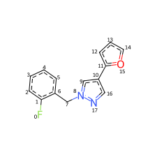 Fc1ccccc1Cn1cc(-c2ccco2)cn1